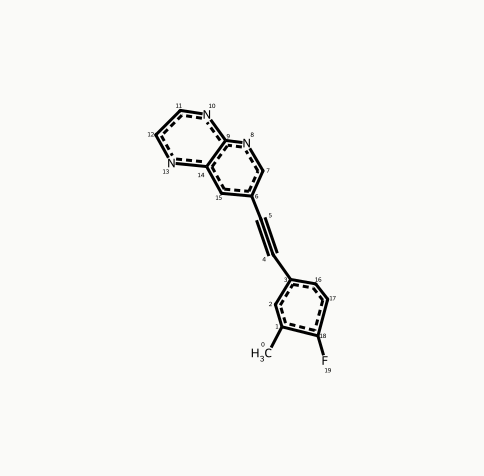 Cc1cc(C#Cc2cnc3nccnc3c2)ccc1F